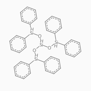 c1ccc([SiH](O[SiH](O[SiH](c2ccccc2)c2ccccc2)O[SiH](c2ccccc2)c2ccccc2)c2ccccc2)cc1